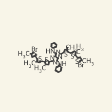 Cc1cc(-c2sc(-c3sc(-c4nc(Nc5ccccc5)c5nc(-c6cc(C)c(-c7cc(C)c(-c8cc(C)c(Br)s8)s7)s6)nc(Nc6ccccc6)c5n4)cc3C)cc2C)sc1Br